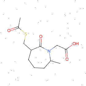 CC(=O)SCC1CCCC(C)N(CC(=O)O)C1=O